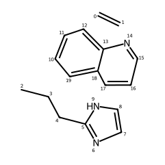 C=C.CCCc1ncc[nH]1.c1ccc2ncccc2c1